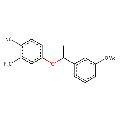 COc1cccc(C(C)Oc2ccc(C#N)c(C(F)(F)F)c2)c1